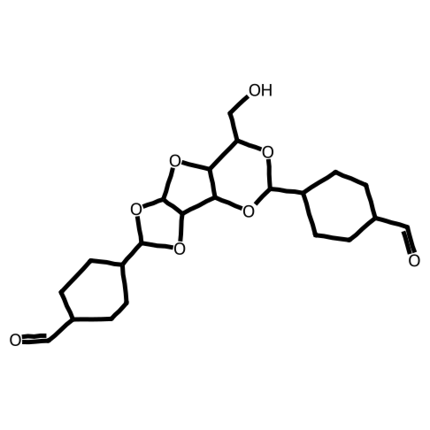 O=CC1CCC(C2OC3OC4C(CO)OC(C5CCC(C=O)CC5)OC4C3O2)CC1